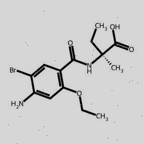 CCOc1cc(N)c(Br)cc1C(=O)N[C@@](C)(CC)C(=O)O